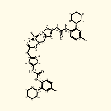 Cc1ccc(NC(=O)Nc2nc(CC(=O)ON(Cc3nsc(NC(=O)Nc4ccc(C)cc4N4CCCCC4)n3)S(C)(=O)=O)ns2)c(N2CCCCC2)c1